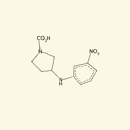 O=C(O)N1CCC(Nc2cccc([N+](=O)[O-])c2)C1